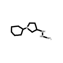 NNNC1CCN(C2CCCCC2)C1